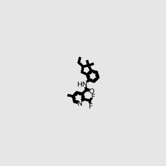 CCC1Cc2c(NC(=O)c3cc(C)cnc3C(F)F)cccc2C1(C)C